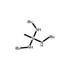 CCC(C)N[Si](C)(NC(C)CC)NC(C)CC